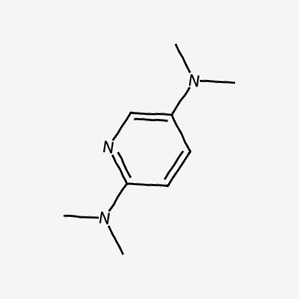 CN(C)c1ccc(N(C)C)nc1